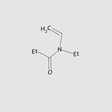 C=CN(CC)C(=O)CC